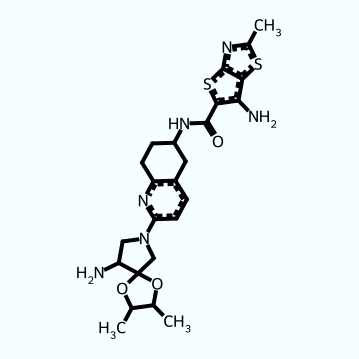 Cc1nc2sc(C(=O)NC3CCc4nc(N5CC(N)C6(C5)OC(C)C(C)O6)ccc4C3)c(N)c2s1